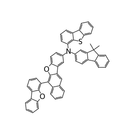 CC1(C)c2ccccc2-c2ccc(N(c3ccc4oc5c(-c6cccc7c6oc6ccccc67)c6ccccc6cc5c4c3)c3cccc4c3sc3ccccc34)cc21